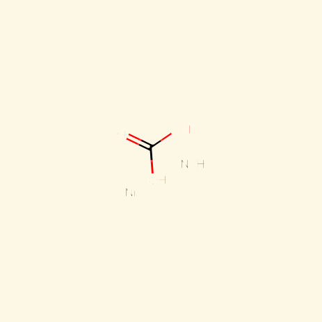 O=C(O)O.[NaH].[Ni]